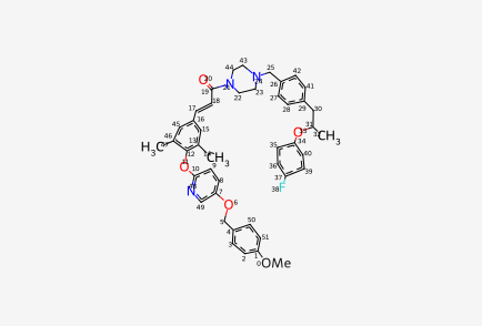 COc1ccc(COc2ccc(Oc3c(C)cc(C=CC(=O)N4CCN(Cc5ccc(CC(C)Oc6ccc(F)cc6)cc5)CC4)cc3C)nc2)cc1